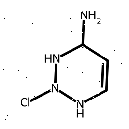 N[C]1C=CNN(Cl)N1